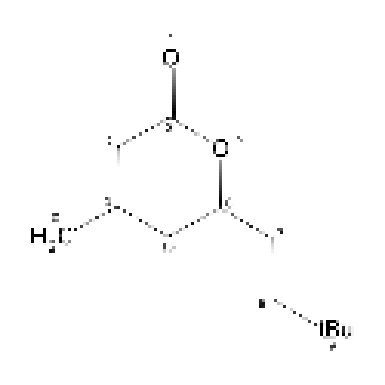 CC1CC(=O)OC(CCC(C)(C)C)C1